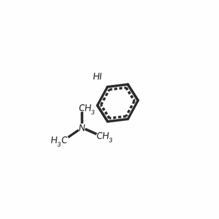 CN(C)C.I.c1ccccc1